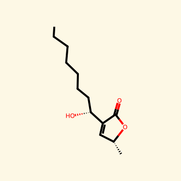 CCCCCCC[C@@H](O)C1=C[C@@H](C)OC1=O